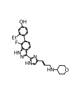 CCc1cc(O)ccc1-c1ccc2c(-c3nc(/C=C/CNC4CCOCC4)c[nH]3)n[nH]c2c1F